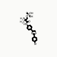 CC(N)(COP(=O)(O)O)C(=O)Nc1ccc(-c2csc(-c3ccc(Br)cc3)n2)cc1